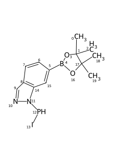 CC1(C)OB(c2ccc3cnn(PI)c3c2)OC1(C)C